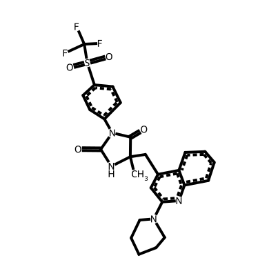 CC1(Cc2cc(N3CCCCC3)nc3ccccc23)NC(=O)N(c2ccc(S(=O)(=O)C(F)(F)F)cc2)C1=O